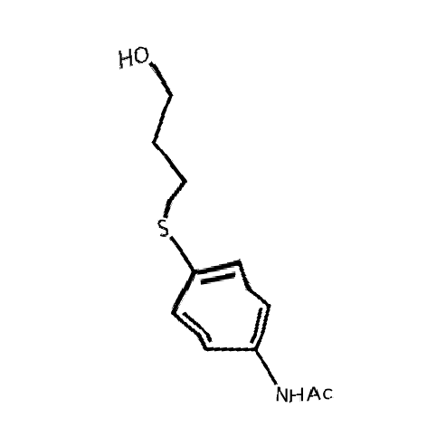 CC(=O)Nc1ccc(SCCCO)cc1